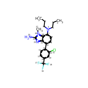 CCCN(CCC)c1ccc(-c2ccc(C(F)(F)F)cc2Cl)c2nc(N)n(C)c12